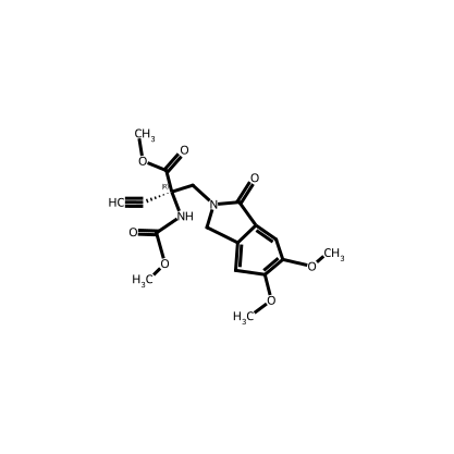 C#C[C@](CN1Cc2cc(OC)c(OC)cc2C1=O)(NC(=O)OC)C(=O)OC